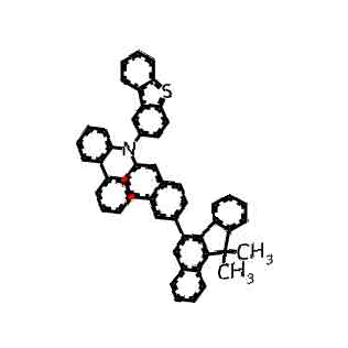 CC1(C)c2ccccc2-c2c(-c3ccc4cc(N(c5ccc6sc7ccccc7c6c5)c5ccccc5-c5ccccc5)ccc4c3)cc3ccccc3c21